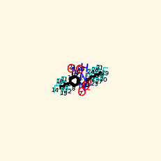 O=C(Nc1c([N+](=O)[O-])cc(C(F)(F)C(F)(F)F)cc1[N+](=O)[O-])C(F)(F)C(F)(F)C(F)(F)F